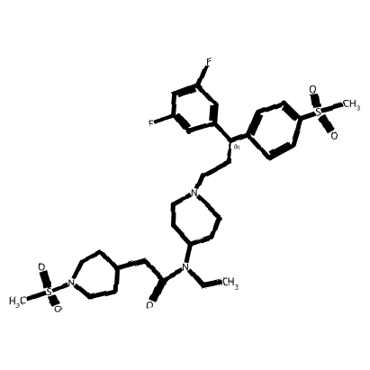 CCN(C(=O)CC1CCN(S(C)(=O)=O)CC1)C1CCN(CC[C@H](c2ccc(S(C)(=O)=O)cc2)c2cc(F)cc(F)c2)CC1